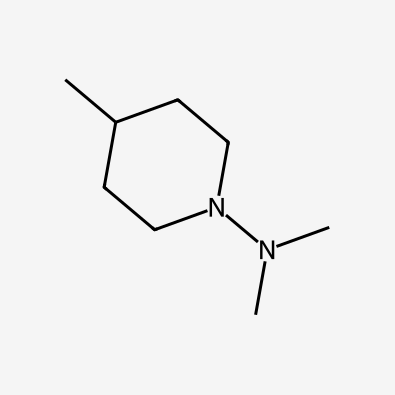 CC1CCN(N(C)C)CC1